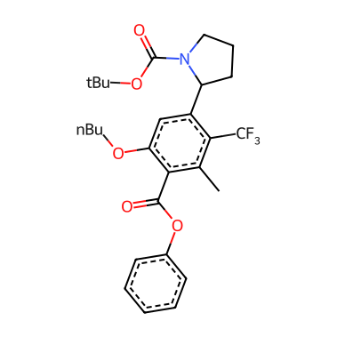 CCCCOc1cc(C2CCCN2C(=O)OC(C)(C)C)c(C(F)(F)F)c(C)c1C(=O)Oc1ccccc1